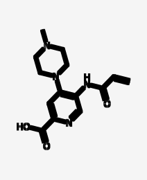 C=CC(=O)Nc1cnc(C(=O)O)cc1N1CCN(C)CC1